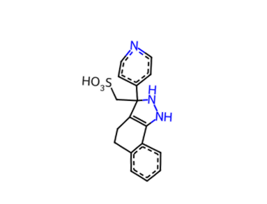 O=S(=O)(O)CC1(c2ccncc2)NNC2=C1CCc1ccccc12